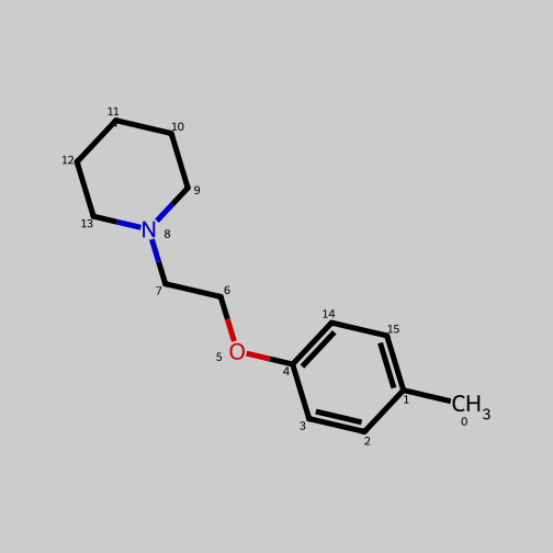 Cc1ccc(OCCN2CC[CH]CC2)cc1